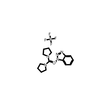 F[B-](F)(F)F.c1ccc2c(c1)nnn2[O+]=C(N1CCCC1)N1CCCC1